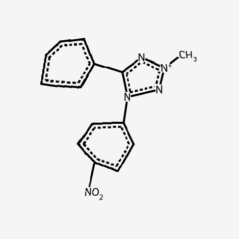 C[n+]1nc(-c2ccccc2)n(-c2ccc([N+](=O)[O-])cc2)n1